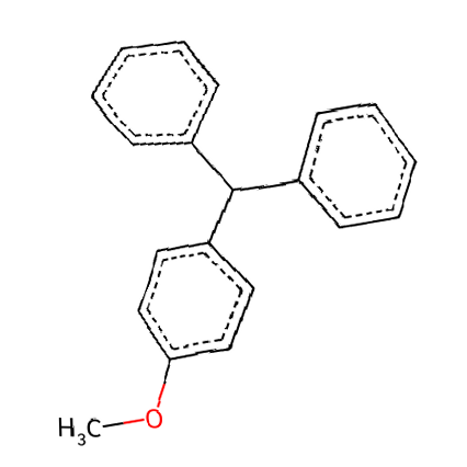 COc1ccc(C(c2ccccc2)c2ccccc2)cc1